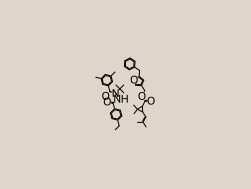 CC(C)=CC1C(C(=O)OCc2coc(Cc3ccccc3)c2)C1(C)C.CCc1ccc(C(=O)NN(C(=O)c2cc(C)cc(C)c2)C(C)(C)C)cc1